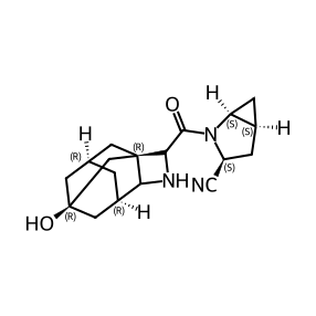 N#C[C@@H]1C[C@@H]2C[C@@H]2N1C(=O)C1NC2[C@@H]3C[C@H]4C[C@@](O)(C3)C[C@@]12C4